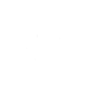 O=C(O)c1cc(Cl)c(CO)cc1Br